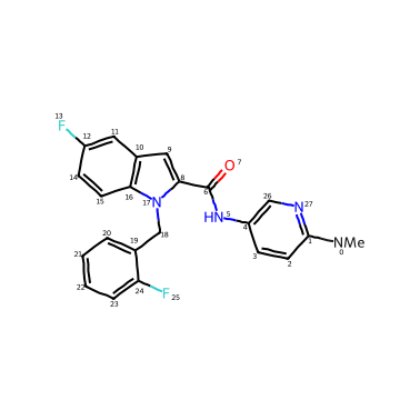 CNc1ccc(NC(=O)c2cc3cc(F)ccc3n2Cc2ccccc2F)cn1